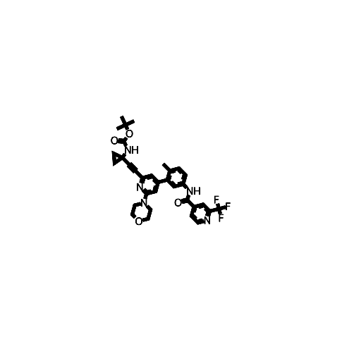 Cc1ccc(NC(=O)c2ccnc(C(F)(F)F)c2)cc1-c1cc(C#CC2(NC(=O)OC(C)(C)C)CC2)nc(N2CCOCC2)c1